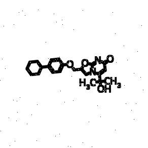 CC(C)(O)c1cc(=O)nc2n1CC(COc1ccc(C3CCCCC3)cc1)O2